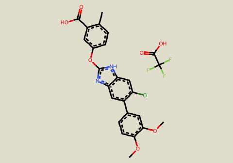 COc1ccc(-c2cc3nc(Oc4ccc(C)c(C(=O)O)c4)[nH]c3cc2Cl)cc1OC.O=C(O)C(F)(F)F